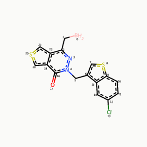 BCc1nn(Cc2csc3ccc(Cl)cc23)c(=O)c2cscc12